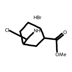 Br.COC(=O)C1CC2CCC1NC2Cl